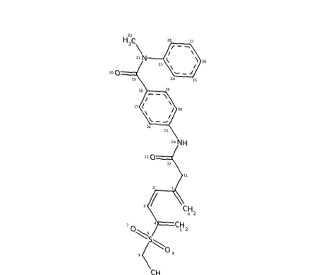 C=C(/C=C\C(=C)S(=O)(=O)CC)CC(=O)Nc1ccc(C(=O)N(C)c2ccccc2)cc1